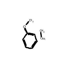 CO.FC(F)(F)Oc1ccccc1